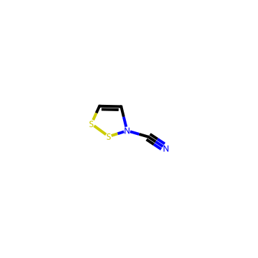 N#CN1C=CSS1